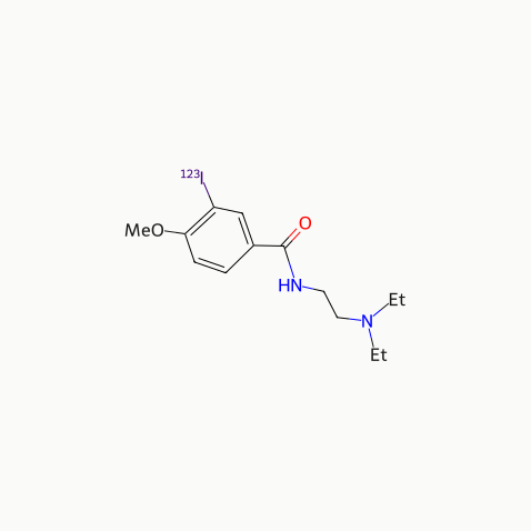 CCN(CC)CCNC(=O)c1ccc(OC)c([123I])c1